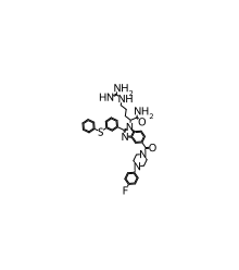 N=C(N)NCCCC(C(N)=O)n1c(-c2cccc(Sc3ccccc3)c2)nc2cc(C(=O)N3CCN(c4ccc(F)cc4)CC3)ccc21